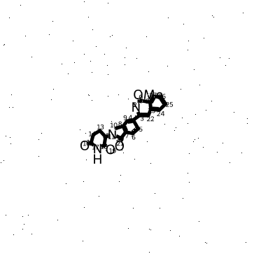 COc1nc(-c2ccc3c(c2)CN(C2CCC(=O)NC2=O)C3=O)cc2ccccc12